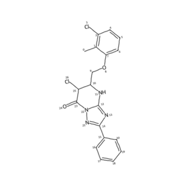 Cc1c(Cl)cccc1OCC1Nc2nc(-c3ccccc3)nn2C(=O)C1Cl